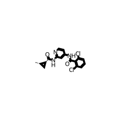 C[C@H]1C[C@H]1C(=O)Nc1cc(NC(=O)c2c(Cl)cccc2Cl)ccn1